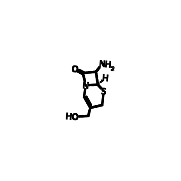 NC1C(=O)N2C=C(CO)CS[C@H]12